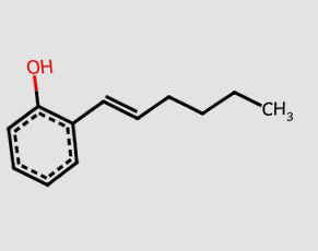 CCCCC=Cc1ccccc1O